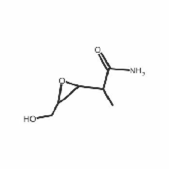 CC(C(N)=O)C1OC1CO